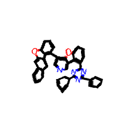 c1ccc(-c2nc(-c3ccccc3)nc(-c3cccc4oc5c(-c6cccc7oc8cc9ccccc9cc8c67)cncc5c34)n2)cc1